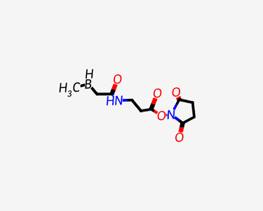 CBCC(=O)NCCC(=O)ON1C(=O)CCC1=O